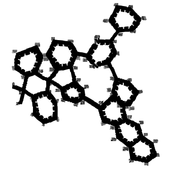 CC1(C)c2ccccc2C2(c3ccc(-c4ccc5cc6ccccc6cc5c4)cc3-c3c(-c4nc(-c5ccccc5)cc(-c5ccccc5)n4)cccc32)c2ccccc21